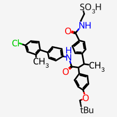 Cc1cc(Cl)ccc1-c1ccc(NC(=O)C(c2ccc(OCC(C)(C)C)cc2)C(C)c2ccc(C(=O)NCCS(=O)(=O)O)cc2)cc1